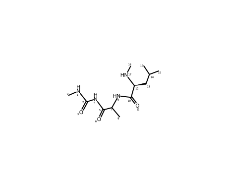 CNC(=O)NC(=O)C(C)NC(=O)[C@H](CC(C)C)NC